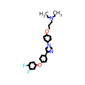 CCN(CC)CCCOc1ccc(-n2cnc(-c3ccc(Oc4ccc(F)c(F)c4)cc3)c2)cc1